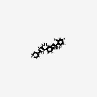 Cc1sc(C2CCOCC2)nc1-c1ccc2[nH]c(-c3c(F)cccc3F)cc2c1